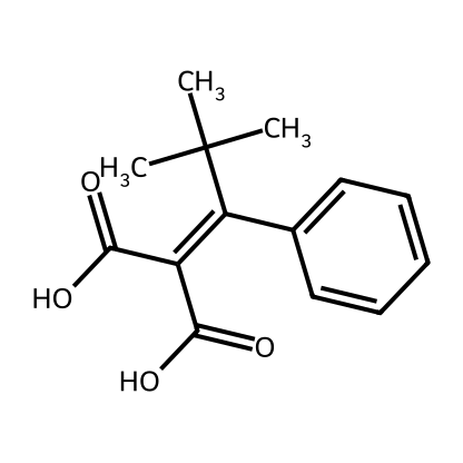 CC(C)(C)C(=C(C(=O)O)C(=O)O)c1ccccc1